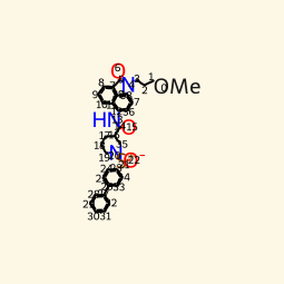 COCCCN1C(=O)c2cccc3c(NC(=O)C4CCCN([S+]([O-])c5ccc(-c6ccccc6)cc5)C4)ccc1c23